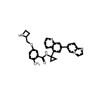 Cc1ccc(OCC2CCN2)cc1C(=O)NC1(c2cc(-c3ccc4nccn4c3)cc3ncccc23)CC1